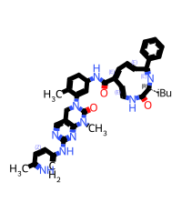 C=C(/C=C\C(C)=N)Nc1ncc2c(n1)N(C)C(=O)N(C1=CC(NC(=O)C3=C/C=C/C(c4ccccc4)=N\[C@H](C(C)CC)C(=O)N\C=C\3)CC=C1C)C2